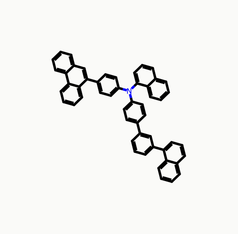 c1cc(-c2ccc(N(c3ccc(-c4cc5ccccc5c5ccccc45)cc3)c3cccc4ccccc34)cc2)cc(-c2cccc3ccccc23)c1